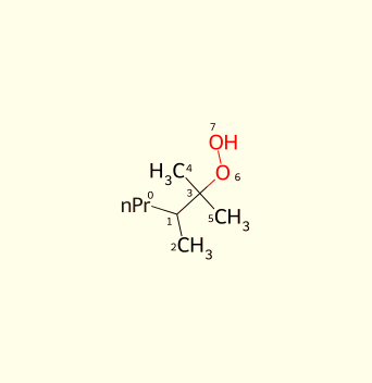 CCCC(C)C(C)(C)OO